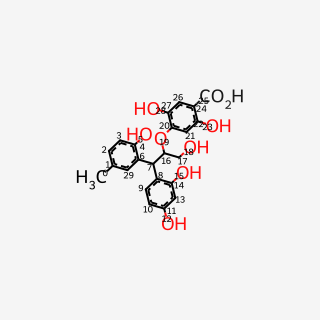 Cc1ccc(O)c(C(c2ccc(O)cc2O)C(CO)Oc2cc(O)c(C(=O)O)cc2O)c1